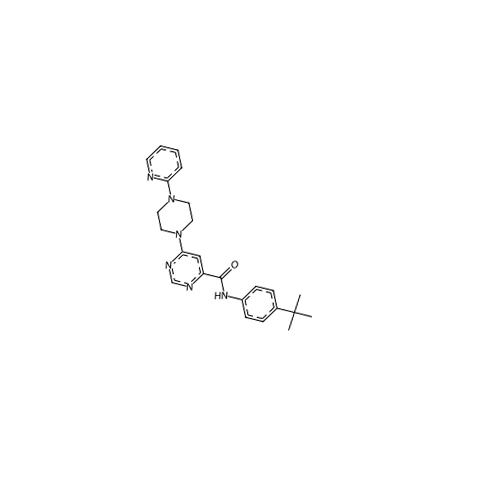 CC(C)(C)c1ccc(NC(=O)c2cc(N3CCN(c4ccccn4)CC3)ncn2)cc1